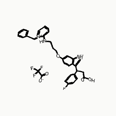 O=C(O)CC(c1ccc(F)cc1)c1c[nH]c2cc(OCCCNc3cccc[n+]3Cc3ccccc3)ccc12.O=C([O-])C(F)(F)F